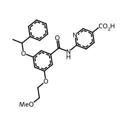 COCCOc1cc(OC(C)c2ccccc2)cc(C(=O)Nc2ccc(C(=O)O)cn2)c1